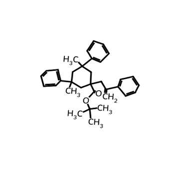 C=C(CC1(C(=O)OC(C)(C)C)CC(C)(c2ccccc2)CC(C)(c2ccccc2)C1)c1ccccc1